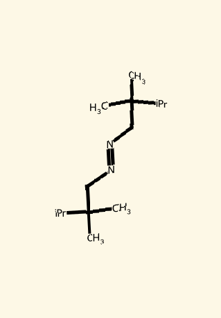 CC(C)C(C)(C)CN=NCC(C)(C)C(C)C